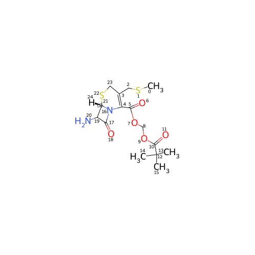 CSCC1=C(C(=O)OCOC(=O)C(C)(C)C)N2C(=O)C(N)[C@@H]2SC1